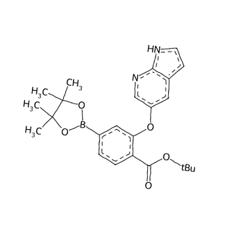 CC(C)(C)OC(=O)c1ccc(B2OC(C)(C)C(C)(C)O2)cc1Oc1cnc2[nH]ccc2c1